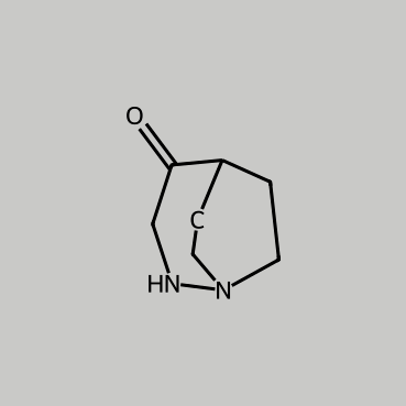 O=C1CNN2CCC1CC2